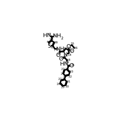 N=C(N)c1csc(CNC(=O)C2CC3(CN2C(=O)CNC(=O)c2ccc(-c4ccccc4)cc2)OCCO3)c1